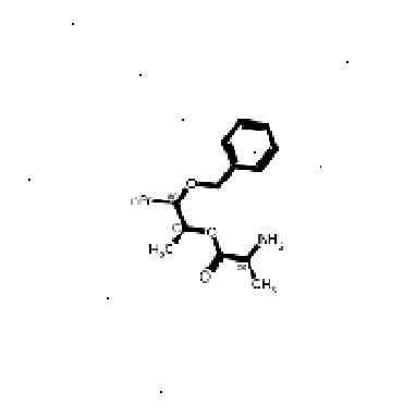 CCC[C@@H](OCc1ccccc1)[C@H](C)OC(=O)[C@H](C)N